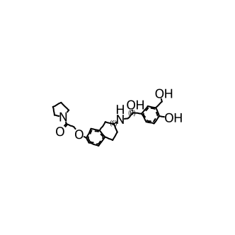 O=C(COc1ccc2c(c1)C[C@@H](NC[C@H](O)c1ccc(O)c(CO)c1)CC2)N1CCCC1